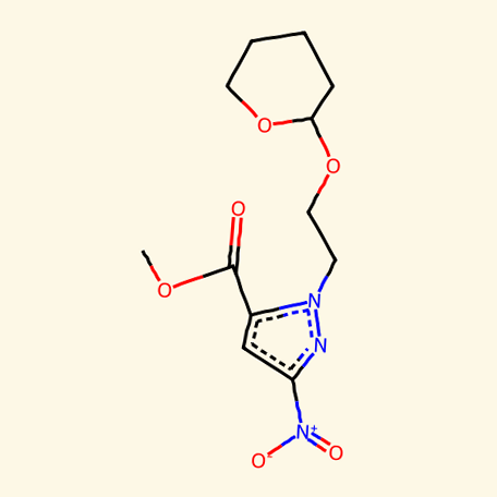 COC(=O)c1cc([N+](=O)[O-])nn1CCOC1CCCCO1